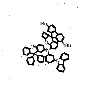 CC(C)(C)c1ccc2c(c1)C1(c3ccccc3Oc3c(N(c4cccc(-n5c6ccccc6c6ccccc65)c4)c4ccc5c(c4)C(c4ccccc4)(c4ccccc4)c4ccccc4O5)cccc31)c1cc(C(C)(C)C)ccc1-2